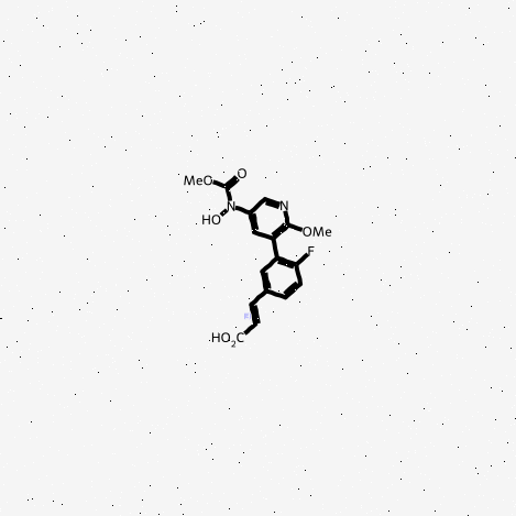 COC(=O)N(O)c1cnc(OC)c(-c2cc(/C=C/C(=O)O)ccc2F)c1